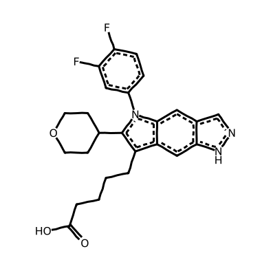 O=C(O)CCCCc1c(C2CCOCC2)n(-c2ccc(F)c(F)c2)c2cc3cn[nH]c3cc12